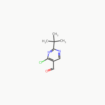 CC(C)(C)c1ncc([C]=O)c(Cl)n1